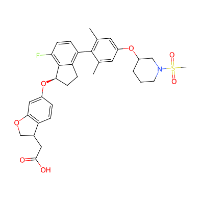 Cc1cc(OC2CCCN(S(C)(=O)=O)C2)cc(C)c1-c1ccc(F)c2c1CC[C@H]2Oc1ccc2c(c1)OCC2CC(=O)O